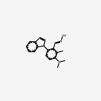 Cc1c(N(C)C)ccc(C2C=Cc3ccccc32)c1/C=N/O